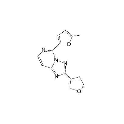 Cc1ccc(-c2nccc3nc(C4CCOC4)nn23)o1